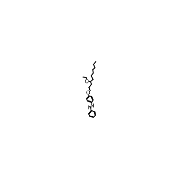 CCCCCCCC(CCCOc1ccc(N=Nc2ccccc2)cc1)OCC